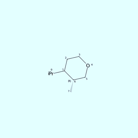 CC(C)C1CCOC[C@@H]1C